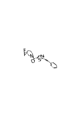 O=C(c1cnc(C#Cc2ccccc2)s1)N1CCCC(F)(F)C1